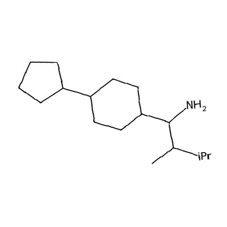 CC(C)C(C)C(N)C1CCC(C2CCCC2)CC1